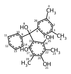 Cc1cc(C)cc(C(O)(c2ccccc2)c2c(O)c(C)c(O)c(C)c2O)c1